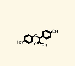 O=C(O)C(Oc1ccc(O)cc1)c1ccc(O)cc1